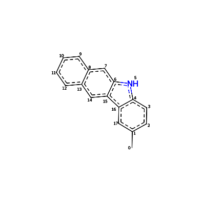 Cc1ccc2[nH]c3cc4ccccc4cc3c2c1